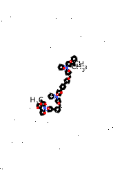 Cc1ccc(N(c2ccc(-c3cccc(Cc4ccc(N(c5ccccc5)c5ccc(-c6ccc(-c7ccc(Cc8ccc(N(c9ccccc9)c9ccc%10c(c9)C(C)(C)c9ccccc9-%10)cc8)cc7)cc6)cc5)cc4)c3)cc2)c2ccccc2-c2ccccc2)cc1